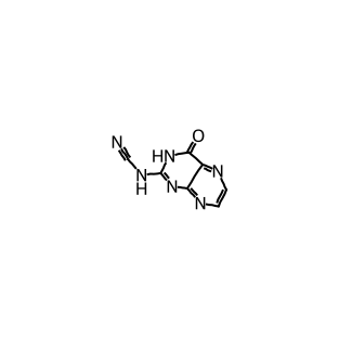 N#CNc1nc2nccnc2c(=O)[nH]1